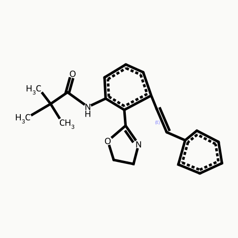 CC(C)(C)C(=O)Nc1cccc(/C=C/c2ccccc2)c1C1=NCCO1